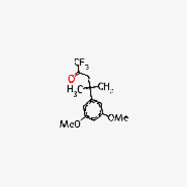 COc1cc(OC)cc(C(C)(C)CC(=O)C(F)(F)F)c1